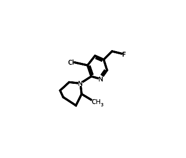 CC1CCCCN1c1ncc(CF)cc1Cl